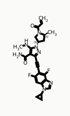 C=CC(=O)N1C[C@@H](n2nc(C#Cc3c(F)cc4c(ncn4C4CC4)c3F)c(C(N)=O)c2NC)C[C@@H]1C